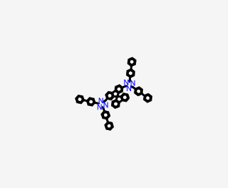 c1ccc(-c2ccc(-c3nc(-c4ccc(-c5ccccc5)cc4)nc(-c4ccc5c(c4)C4(c6ccccc6-c6ccccc64)c4cc(-c6nc(-c7ccc(-c8ccccc8)cc7)nc(-c7ccc(-c8ccccc8)cc7)n6)ccc4-5)n3)cc2)cc1